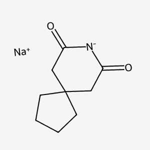 O=C1CC2(CCCC2)CC(=O)[N-]1.[Na+]